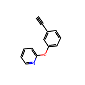 C#Cc1cccc(Oc2ccccn2)c1